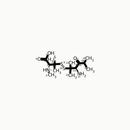 CN[C@H](C(=O)O)C(C)(C)SSC(C)(C)[C@H](N)C(=O)C(C)C